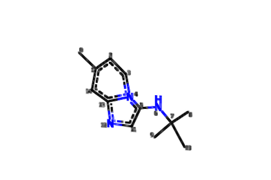 Cc1ccn2c(NC(C)(C)C)cnc2c1